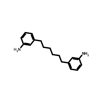 Nc1cccc(CCCCCCc2cccc(N)c2)c1